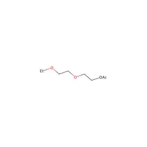 CCOCCOCCOC(C)=O